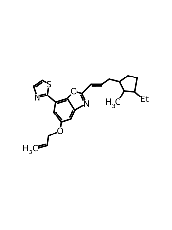 C=CCOc1cc(-c2nccs2)c2oc(/C=C/CC3CCC(CC)C3C)nc2c1